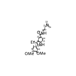 CCc1c(-c2ccc(OC)c(OC)c2)[nH]c2ccc(C(=O)NCCCN(C)C)cc12